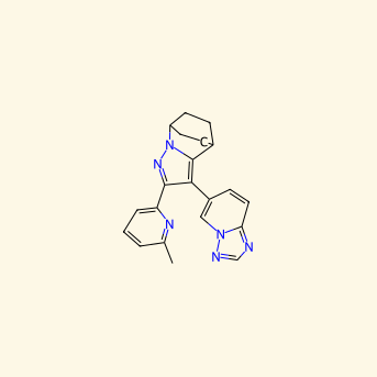 Cc1cccc(-c2nn3c(c2-c2ccc4ncnn4c2)C2CCC3CC2)n1